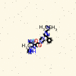 C/C(=c1/[nH]cc(C(=O)C(=O)N2CCN(c3cn(CCN(C)C)nc3-c3ccccc3)CC2)/c1=C(\F)C=N)n1ccnn1